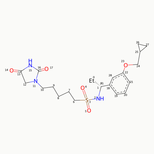 CC[C@@H](NS(=O)(=O)CCCCCN1CC(=O)NC1=O)c1cccc(OCC2CC2)c1